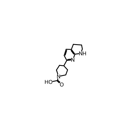 O=C(O)N1CCC(c2ccc3c(n2)NCCC3)CC1